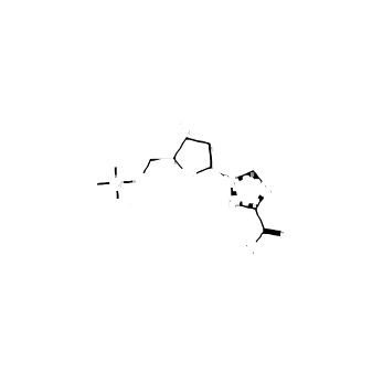 CC(C)[Si](OC[C@@H]1O[C@H](n2cnc(C(N)=O)n2)[C@@H](O)[C@H]1O)(C(C)C)C(C)C